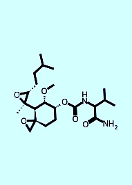 CO[C@@H]1[C@H](OC(=O)NC(C(N)=O)C(C)C)CC[C@]2(CO2)[C@H]1[C@@]1(C)O[C@@H]1CCC(C)C